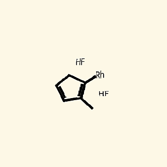 CC1=[C]([Rh])CC=C1.F.F